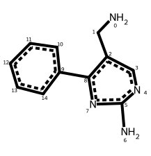 NCc1cnc(N)nc1-c1ccccc1